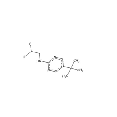 CC(C)(C)c1cnc(NCC(F)F)nc1